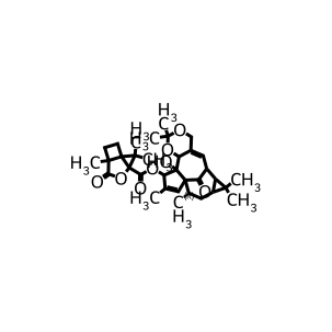 CC1=CC23C(=O)C(C=C4COC(C)(C)OC4C2(O)C1OC(=O)C12OC(=O)C4(C)CCC41C2(C)C)C1C(C[C@H]3C)C1(C)C